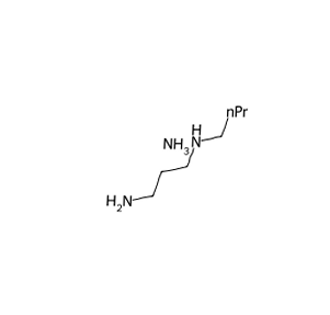 CCCCNCCCN.N